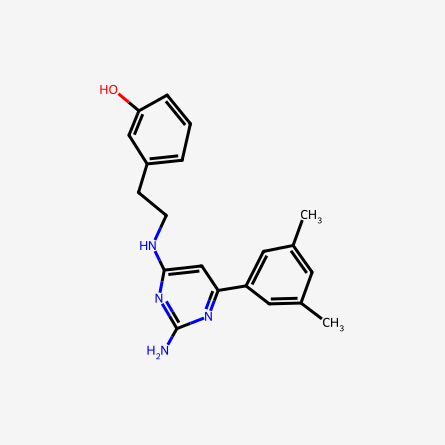 Cc1cc(C)cc(-c2cc(NCCc3cccc(O)c3)nc(N)n2)c1